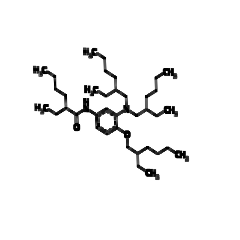 CCCCC(CC)COc1ccc(NC(=O)C(CC)CCCC)cc1N(CC(CC)CCCC)CC(CC)CCCC